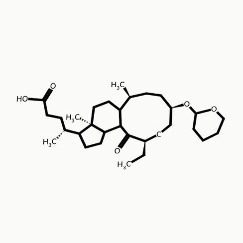 CC[C@@H]1CC[C@H](OC2CCCCO2)CC[C@H](C)C2CC[C@@]3(C)C(CCC3[C@H](C)CCC(=O)O)C2C1=O